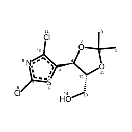 CC1(C)O[C@H](c2sc(Cl)nc2Cl)[C@@H](CO)O1